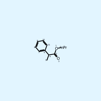 CCCOC(=O)C(C)c1ccccc1